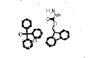 Clc1ccccc1C(Cl)(c1ccccc1)c1ccccc1.NNC(=O)OCC1c2ccccc2-c2ccccc21